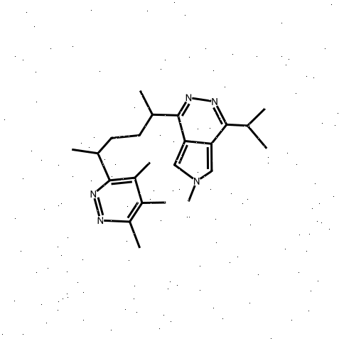 Cc1nnc(C(C)CCC(C)c2nnc(C(C)C)c3cn(C)cc23)c(C)c1C